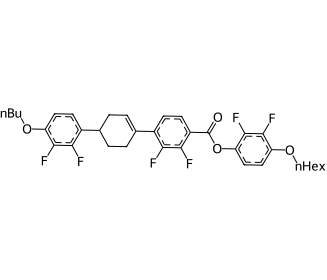 CCCCCCOc1ccc(OC(=O)c2ccc(C3=CCC(c4ccc(OCCCC)c(F)c4F)CC3)c(F)c2F)c(F)c1F